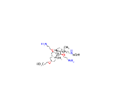 CCCCCCCCNCCC[C@@H](C)[C@H]1CC[C@H]2C3[C@H](OCCCN)CC4C[C@H](OCCC(=O)O)CCC4(C)[C@H]3C[C@H](OCCCN)C12C